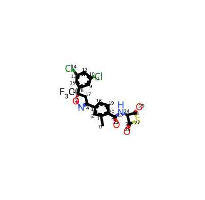 Cc1cc(C2=NO[C@](c3cc(Cl)cc(Cl)c3)(C(F)(F)F)C2)ccc1C(=O)NC1C(=O)SC1=O